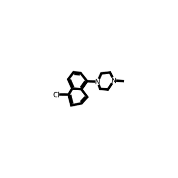 CN1CCN(c2cccc3c(Cl)cccc23)CC1